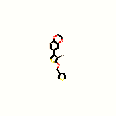 N#Cc1c(-c2ccc3c(c2)OCCO3)csc1OCc1ccsc1